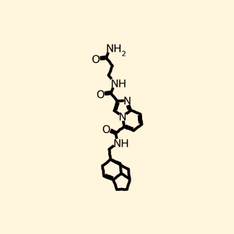 NC(=O)CCNC(=O)c1cn2c(C(=O)NCC34CC=C5CCC(C3)C5C4)cccc2n1